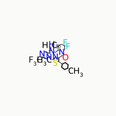 Cc1ccc(-c2sc(C)nc2C(=O)N2CC(F)(F)C[C@@H](C)C2CNc2cnc(C(F)(F)F)cn2)cc1